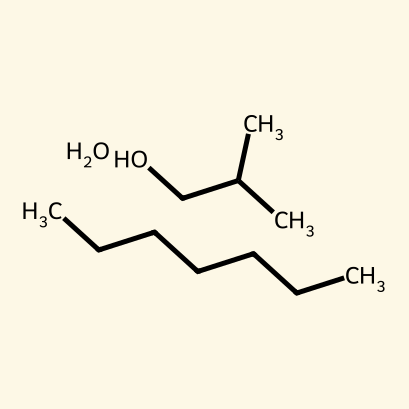 CC(C)CO.CCCCCCC.O